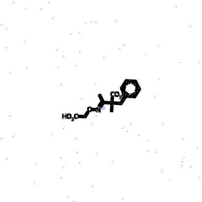 CCOC(=O)C(C)(Cc1ccccc1)/C(C)=N/OCC(=O)O